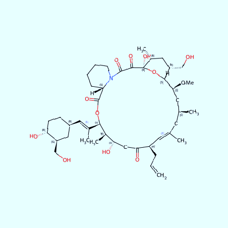 C=CC[C@@H]1/C=C(\C)C[C@H](C)C[C@H](OC)[C@H]2O[C@@](O)(C(=O)C(=O)N3CCCC[C@H]3C(=O)O[C@H](/C(C)=C/[C@@H]3CC[C@@H](O)[C@H](CO)C3)[C@H](C)[C@@H](O)CC1=O)[C@H](C)C[C@@H]2CO